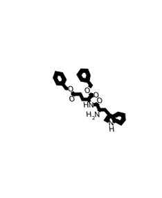 NC(Cc1c[nH]c2ccccc12)C(=O)NC(CCC(=O)OCc1ccccc1)C(=O)OCc1ccccc1